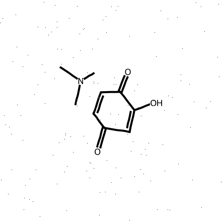 CN(C)C.O=C1C=CC(=O)C(O)=C1